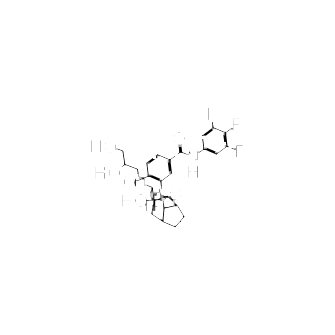 O=C(Nc1cc(F)c(F)c(F)c1)c1ccc(Cl)c(S(=O)(=O)[C@H]2C3CCC2C[C@](O)(COCC(O)CO)C3)c1